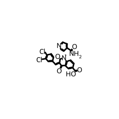 CN1C(=O)/C(=C\c2ccc(Cl)c(Cl)c2)C(=O)c2cc(C(=O)O)ccc21.NC(=O)c1ccncc1